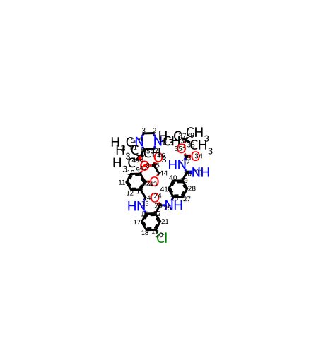 CN1CCN(C)C(COc2cccc(CNc3ccc(Cl)cc3C(=O)Nc3ccc(C(=N)NC(=O)OC(C)(C)C)cc3)c2OCC(=O)OC(C)(C)C)C1